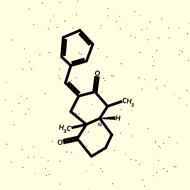 CC1C(=O)C(=Cc2ccccc2)CC2(C)C(=O)CCC[C@@H]12